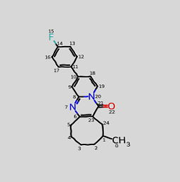 CC1CCCCc2nc3cc(-c4ccc(F)cc4)ccn3c(=O)c2C1